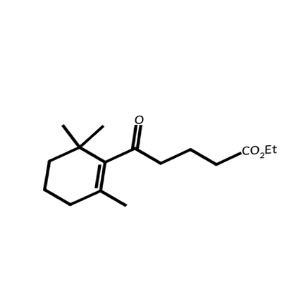 CCOC(=O)CCCC(=O)C1=C(C)CCCC1(C)C